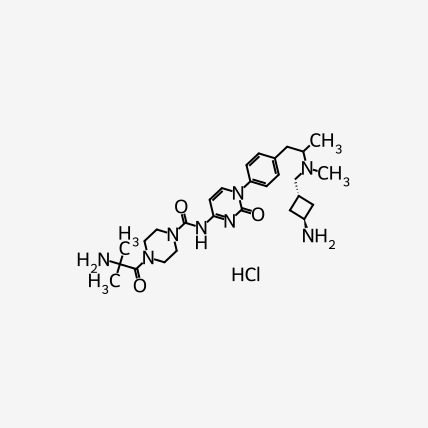 CC(Cc1ccc(-n2ccc(NC(=O)N3CCN(C(=O)C(C)(C)N)CC3)nc2=O)cc1)N(C)C[C@H]1C[C@H](N)C1.Cl